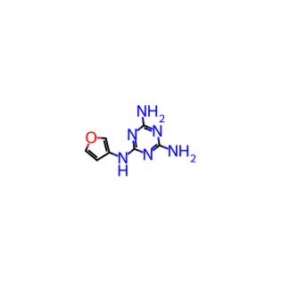 Nc1nc(N)nc(Nc2ccoc2)n1